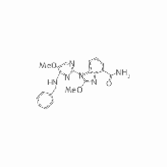 COc1cnc(-n2c(OC)nc3c(C(N)=O)cccc32)nc1NCc1ccccc1